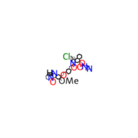 COc1cc2c(cc1OCc1cccc(CC(=O)N3C[C@@H](CCl)c4c3cc(OC(=O)N3CCN(C)CC3)c3ccccc43)c1)N=C[C@@H]1CCCCN1C2=O